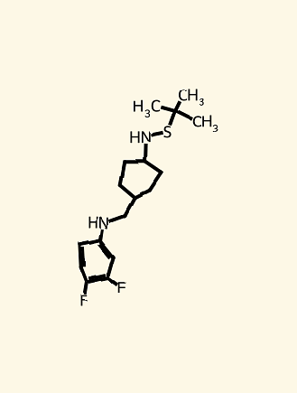 CC(C)(C)SNC1CCC(CNc2ccc(F)c(F)c2)CC1